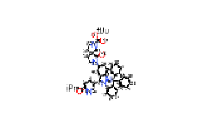 CC(C)Oc1ccc(-c2nn(C(c3ccccc3)(c3ccccc3)c3ccccc3)c3ccc(N4CCC5(CCN(C(=O)OC(C)(C)C)C5)C4=O)cc23)cn1